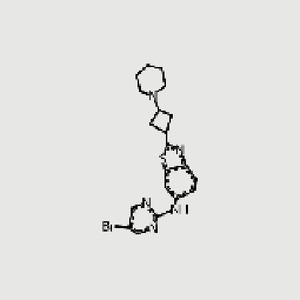 Brc1cnc(Nc2ccc3nc(C4CC(N5CCCCC5)C4)sc3c2)nc1